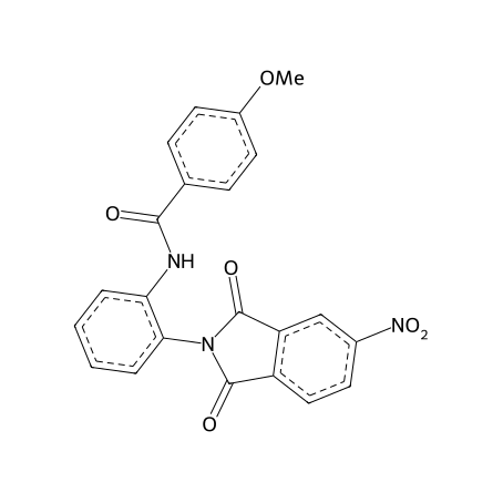 COc1ccc(C(=O)Nc2ccccc2N2C(=O)c3ccc([N+](=O)[O-])cc3C2=O)cc1